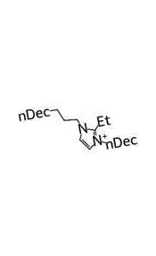 CCCCCCCCCCCCCn1cc[n+](CCCCCCCCCC)c1CC